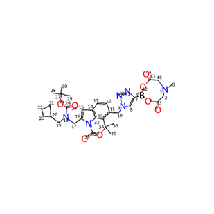 CN1CC(=O)OB(c2cn(Cc3ccc4cc(CN(CC5CCC5)C(=O)OC(C)(C)C)n5c4c3C(C)(C)OC5=O)nn2)OC(=O)C1